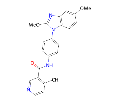 COc1ccc2c(c1)nc(OC)n2-c1ccc(NC(=O)c2cnccc2C)cc1